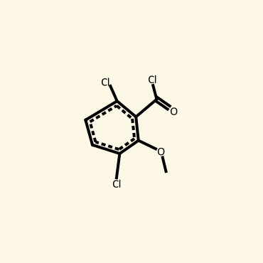 COc1c(Cl)ccc(Cl)c1C(=O)Cl